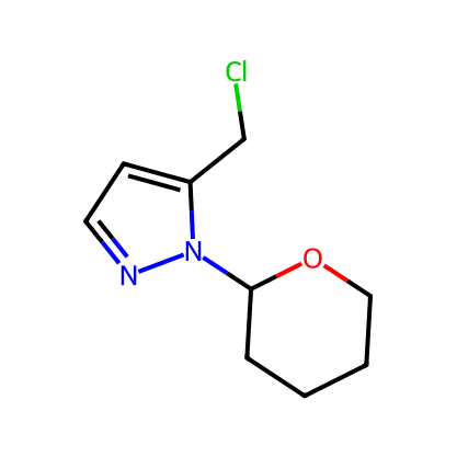 ClCc1ccnn1C1CCCCO1